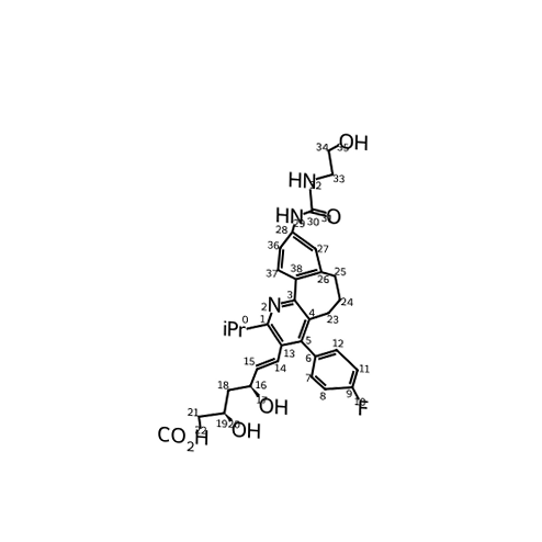 CC(C)c1nc2c(c(-c3ccc(F)cc3)c1/C=C/[C@@H](O)C[C@@H](O)CC(=O)O)CCCc1cc(NC(=O)NCCO)ccc1-2